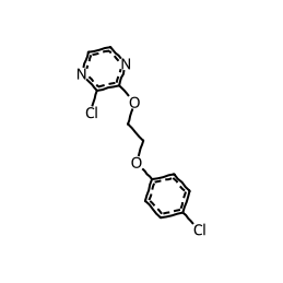 Clc1ccc(OCCOc2nccnc2Cl)cc1